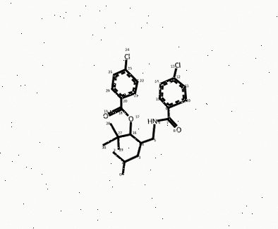 CC(C)CC(CNC(=O)c1ccc(Cl)cc1)C(OC(=O)c1ccc(Cl)cc1)C(C)(C)C